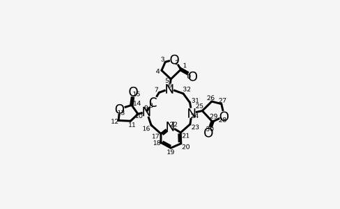 O=C1OCCC1N1CCN(C2CCOC2=O)Cc2cccc(n2)CN(C2CCOC2=O)CC1